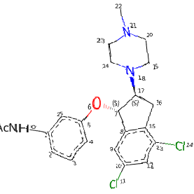 CC(=O)Nc1cccc(O[C@H]2c3cc(Cl)cc(Cl)c3C[C@@H]2N2CCN(C)CC2)c1